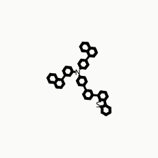 c1cc(-c2ccc(N(c3ccc(-c4cccc5ccccc45)cc3)c3cccc(-c4cccc5ccccc45)c3)cc2)cc(-c2cccc3c2sc2ccccc23)c1